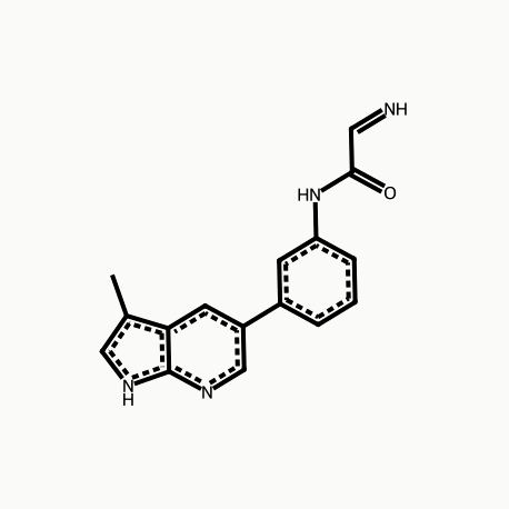 Cc1c[nH]c2ncc(-c3cccc(NC(=O)C=N)c3)cc12